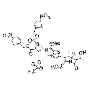 CSc1c2sc(C3=C(C(=O)O)N4C(=O)[C@H]([C@@H](C)O)[C@H]4[C@H]3C)c[n+]2cn1[C@H]1C[C@@H](C(=O)OCc2ccc([N+](=O)[O-])cc2)N(C(=O)OCc2ccc([N+](=O)[O-])cc2)C1.O=S(=O)([O-])C(F)(F)F